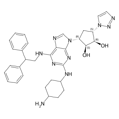 NC1CCC(Nc2nc(NCC(c3ccccc3)c3ccccc3)c3ncn([C@@H]4C[C@H](n5ccnn5)[C@@H](O)[C@H]4O)c3n2)CC1